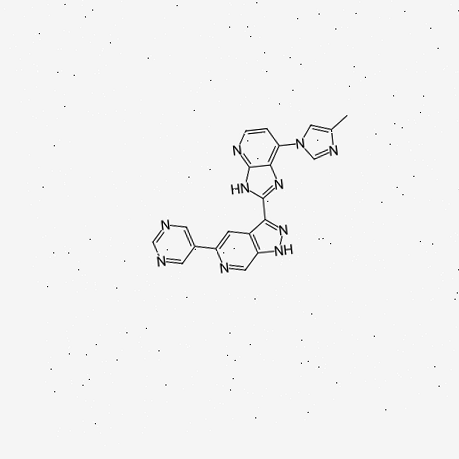 Cc1cn(-c2ccnc3[nH]c(-c4n[nH]c5cnc(-c6cncnc6)cc45)nc23)cn1